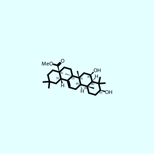 COC(=O)[C@]12CCC(C)(C)C[C@H]1C1=CC[C@@H]3[C@@]4(C)CC[C@H](O)C(C)(C)[C@@H]4[C@H](O)C[C@@]3(C)[C@]1(C)CC2